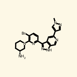 Cn1cc(-c2cc3c(-c4ccc(Br)c(N5CCC[C@H](N)C5)n4)n[nH]c3cn2)cn1